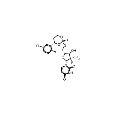 C[C@@]1(F)[C@H](O)[C@@H](CO[P@@]2(=O)OCC[C@@H](c3cc(Cl)ccc3F)O2)O[C@H]1n1ccc(=O)[nH]c1=O